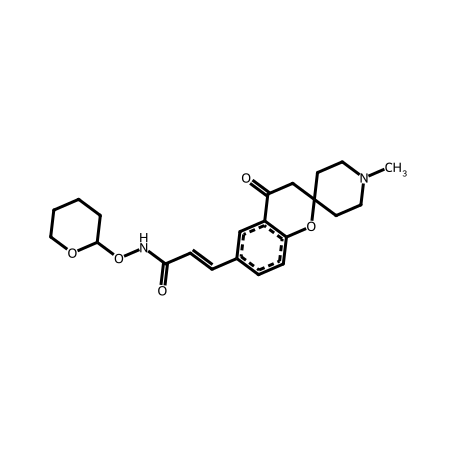 CN1CCC2(CC1)CC(=O)c1cc(C=CC(=O)NOC3CCCCO3)ccc1O2